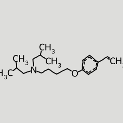 C=Cc1ccc(OCCCCN(CC(C)C)CC(C)C)cc1